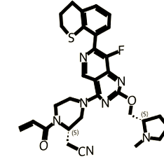 C=CC(=O)N1CCN(c2nc(OC[C@@H]3CCCN3C)nc3c(F)c(-c4cccc5c4SCCC5)ncc23)C[C@@H]1CC#N